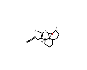 C[C@]12CCC3CCC[C@H]4C(CN=[N+]=[N-])=C(C(F)(F)F)OC(O1)[C@@]34OO2